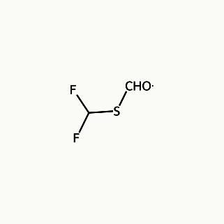 O=[C]SC(F)F